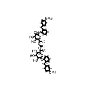 CCC(OC(=O)OC(CC)[C@@H]1O[C@@H](Oc2ccccc2Cc2ccc(OC)cc2)[C@H](O)[C@@H](O)[C@H]1O)[C@@H]1O[C@@H](Oc2ccccc2Cc2ccc(OC)cc2)[C@H](O)[C@@H](O)[C@H]1O